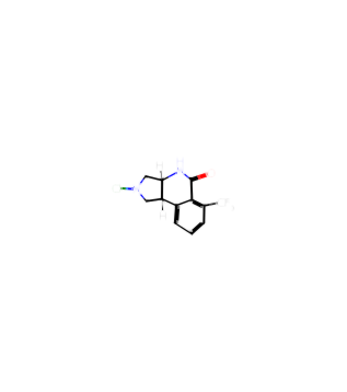 O=C1N[C@H]2CN(Cl)C[C@H]2c2cccc(C(F)(F)F)c21